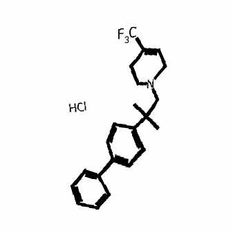 CC(C)(CN1CC=C(C(F)(F)F)CC1)c1ccc(-c2ccccc2)cc1.Cl